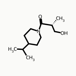 CC(C)C1CCN(C(=O)[C@H](C)CO)CC1